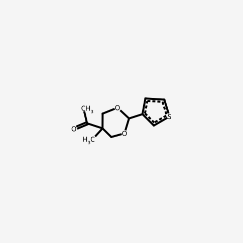 CC(=O)C1(C)COC(c2ccsc2)OC1